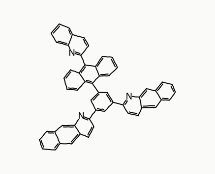 c1ccc2cc3nc(-c4cc(-c5ccc6cc7ccccc7cc6n5)cc(-c5c6ccccc6c(-c6ccc7ccccc7n6)c6ccccc56)c4)ccc3cc2c1